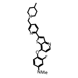 CNc1ccc(Oc2ccnc3cc(-c4ccc(CN5CCC(C)CC5)cn4)sc23)c(F)c1